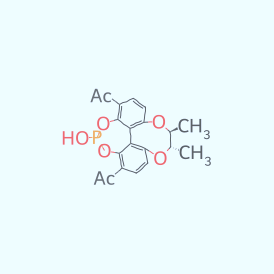 CC(=O)c1ccc2c3c1op(O)oc1c(C(C)=O)ccc(c13)O[C@@H](C)[C@H](C)O2